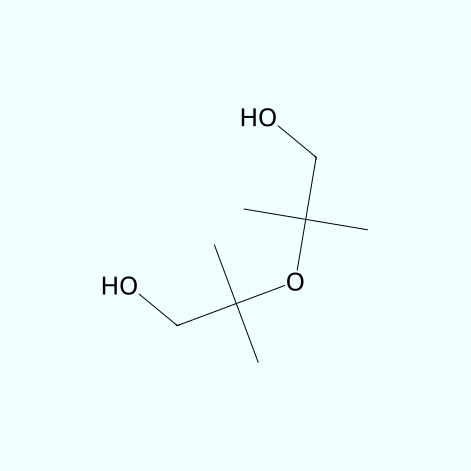 CC(C)(CO)OC(C)(C)CO